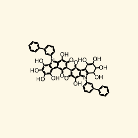 OC1=C(O)C(O)C(O)c2c1c1c3ooc4c5c(ooc(c3-5)c(O)c1n2-c1cccc(-c2ccccc2)c1)c1c2c(O)c(O)c(O)c(O)c2n(-c2cccc(-c3ccccc3)c2)c1c4O